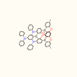 Cc1ccc2c(c1)Oc1cccc3c1B2c1ccc2c(c1O3)B1c3c(cc(N(c4ccccc4)c4ccccc4)cc3N(c3ccccc3)c3ccc4c(c31)Oc1cccc3c1B4c1ccc(C)cc1O3)N2c1ccccc1